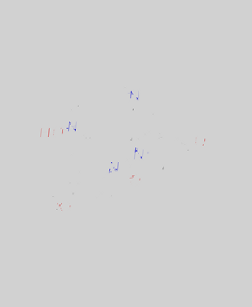 COc1ccc2c(c1)c(CCN(C)C)cn2C(=O)n1cc(CCN(C)O)c2cc(OC)ccc21